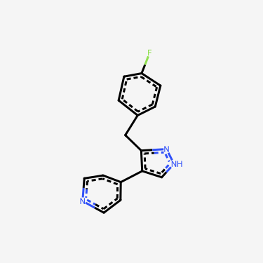 Fc1ccc(Cc2n[nH]cc2-c2ccncc2)cc1